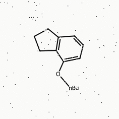 CCCCOc1cccc2c1[CH]CC2